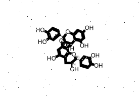 Oc1cc(O)c2c(c1)O[C@]1(c3ccc(O)c(O)c3)Oc3cc(O)c4c(c3[C@H]2[C@@H]1O)O[C@H](c1ccc(O)c(O)c1)[C@@H](O)C4